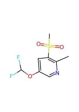 Cc1ncc(OC(F)F)cc1S(C)(=O)=O